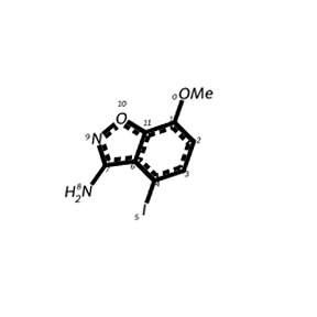 COc1ccc(I)c2c(N)noc12